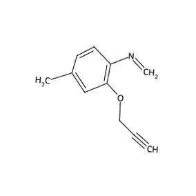 C#CCOc1cc(C)ccc1N=C